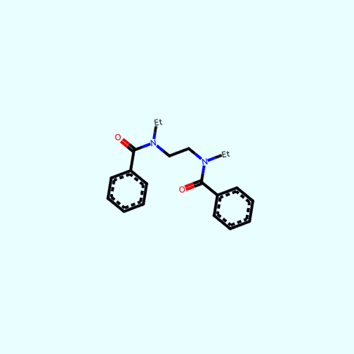 CCN(CCN(CC)C(=O)c1ccccc1)C(=O)c1ccccc1